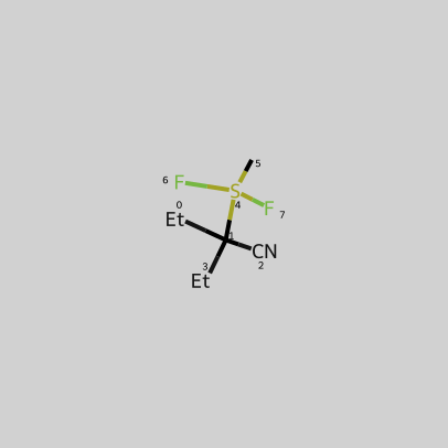 CCC(C#N)(CC)S(C)(F)F